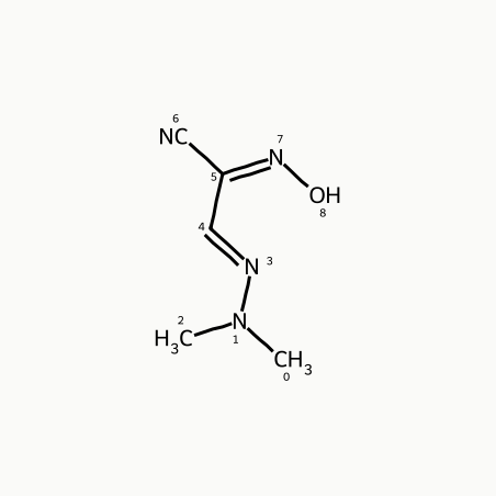 CN(C)N=CC(C#N)=NO